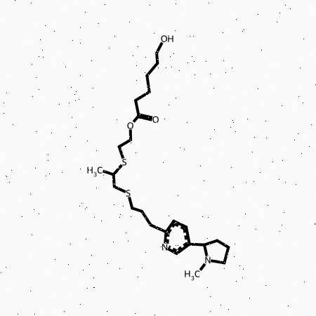 CC(CSCCCc1ccc(C2CCCN2C)cn1)SCCOC(=O)CCCCCO